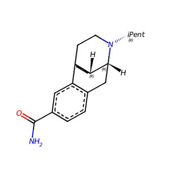 CCC[C@@H](C)N1CCC23CCCC[C@H]2[C@H]1Cc1ccc(C(N)=O)cc13